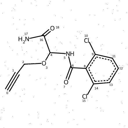 C#CCOC(NC(=O)c1c(Cl)cccc1Cl)C(N)=O